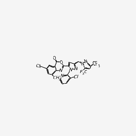 Cc1cc(Cl)cc2c(=O)oc(-c3cc(Cn4nc(C(F)(F)F)cc4C(F)(F)F)nn3-c3ncccc3Cl)nc12